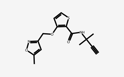 C#CC(C)(C)NC(=O)c1sccc1OCc1cc(C)on1